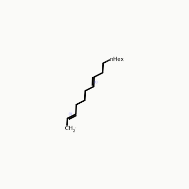 [CH2]/C=C/CCC/C=C/CCCCCCCC